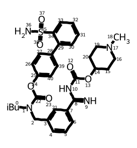 CCC(C)N(Cc1cccc(C(=N)NC(=O)OC2CCN(C)CC2)c1)C(=O)Oc1ccc(-c2ccccc2S(N)(=O)=O)cc1